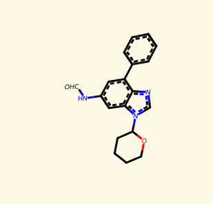 O=CNc1cc(-c2ccccc2)c2ncn(C3CCCCO3)c2c1